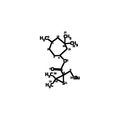 CC1CCC(OC(=O)C2(CC(C)(C)C)SC2(C)C)CC(C)(C)C1